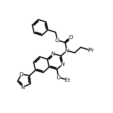 CCOc1nc(N(CCC(C)C)C(=O)OCc2ccccc2)nc2ccc(-c3cnco3)cc12